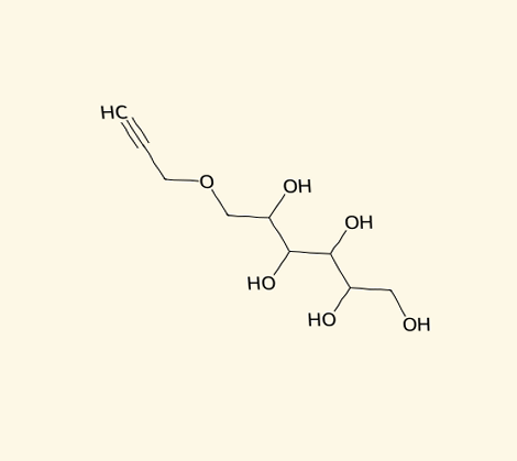 C#CCOCC(O)C(O)C(O)C(O)CO